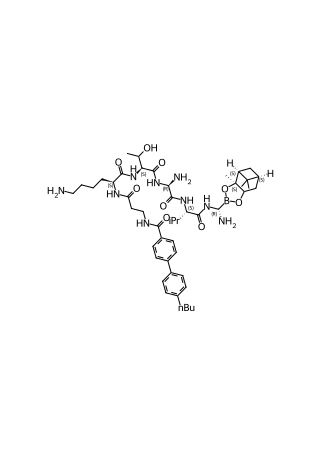 CCCCc1ccc(-c2ccc(C(=O)NCCC(=O)N[C@@H](CCCCN)C(=O)N[C@H](C(=O)N[C@@H](N)C(=O)N[C@H](C(=O)N[C@@H](N)B3OC4C[C@@H]5C[C@@H](C5(C)C)[C@]4(C)O3)C(C)C)C(C)O)cc2)cc1